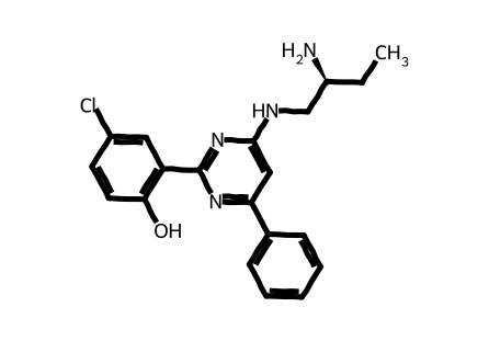 CC[C@H](N)CNc1cc(-c2ccccc2)nc(-c2cc(Cl)ccc2O)n1